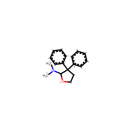 CN(C)C1OCCC1(c1ccccc1)c1ccccc1